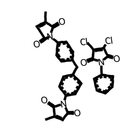 CC1=CC(=O)N(c2ccc(Cc3ccc(N4C(=O)C=C(C)C4=O)cc3)cc2)C1=O.O=C1C(Cl)=C(Cl)C(=O)N1c1ccccc1